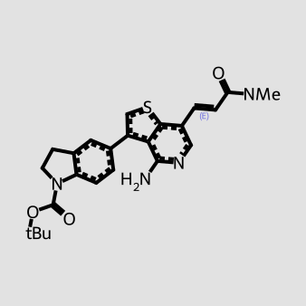 CNC(=O)/C=C/c1cnc(N)c2c(-c3ccc4c(c3)CCN4C(=O)OC(C)(C)C)csc12